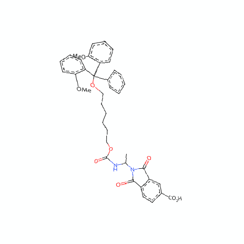 COc1ccccc1C(OCCCCCCOC(=O)NC(C)N1C(=O)c2ccc(C(=O)O)cc2C1=O)(c1ccccc1)c1ccccc1OC